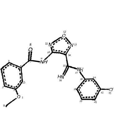 COc1cccc(C(=O)Nc2nonc2C(=N)Nc2cccc(Cl)c2)c1